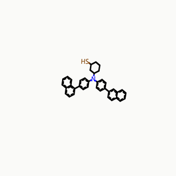 SC1CCCC(N(c2ccc(-c3ccc4ccccc4c3)cc2)c2ccc(-c3cccc4ccccc34)cc2)C1